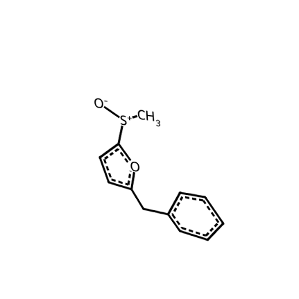 C[S+]([O-])c1ccc(Cc2ccccc2)o1